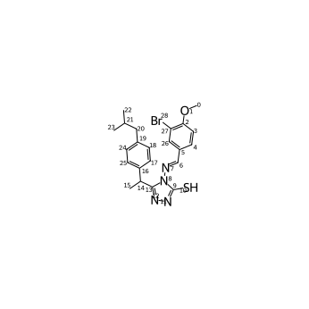 COc1ccc(C=Nn2c(S)nnc2C(C)c2ccc(CC(C)C)cc2)cc1Br